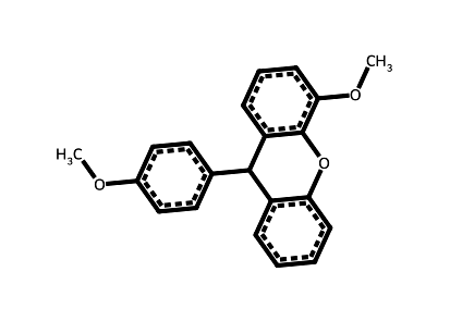 COc1ccc(C2c3ccccc3Oc3c(OC)cccc32)cc1